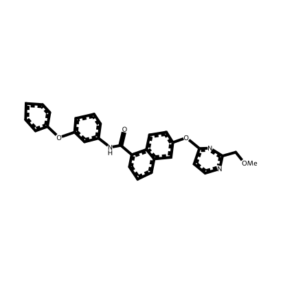 COCc1nccc(Oc2ccc3c(C(=O)Nc4cccc(Oc5ccccc5)c4)cccc3c2)n1